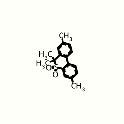 Cc1ccc2c(c1)C(C)(C)S(=O)(=O)c1cc(C)ccc1-2